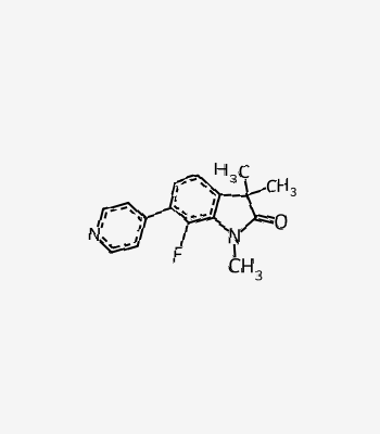 CN1C(=O)C(C)(C)c2ccc(-c3ccncc3)c(F)c21